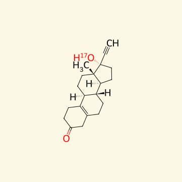 C#C[C@@]1([17OH])CC[C@H]2[C@@H]3CCC4=C(CCC(=O)C4)[C@H]3CC[C@@]21C